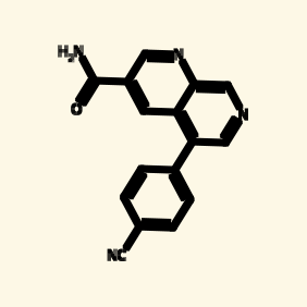 N#Cc1ccc(-c2cncc3ncc(C(N)=O)cc23)cc1